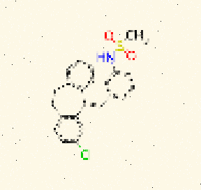 CS(=O)(=O)Nc1cccc(/C=C2\c3ccccc3CCc3ccc(Cl)cc32)c1